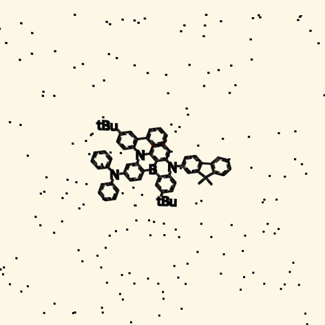 Cc1cc2c3c(c1)N(c1ccc(C(C)(C)C)cc1-c1ccccc1)c1cc(N(c4ccccc4)c4ccccc4)ccc1B3c1cc(C(C)(C)C)ccc1N2c1ccc2c(c1)C(C)(C)c1ccccc1-2